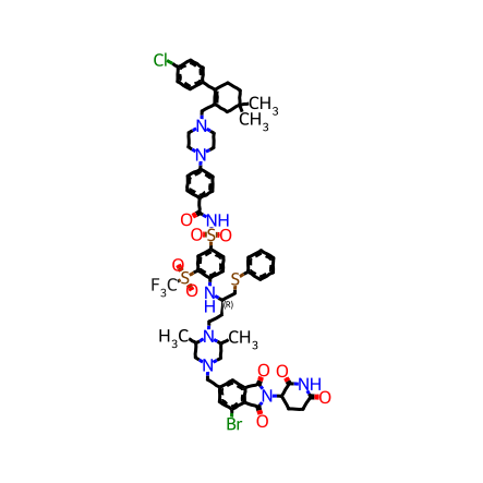 CC1CN(Cc2cc(Br)c3c(c2)C(=O)N(C2CCC(=O)NC2=O)C3=O)CC(C)N1CC[C@H](CSc1ccccc1)Nc1ccc(S(=O)(=O)NC(=O)c2ccc(N3CCN(CC4=C(c5ccc(Cl)cc5)CCC(C)(C)C4)CC3)cc2)cc1S(=O)(=O)C(F)(F)F